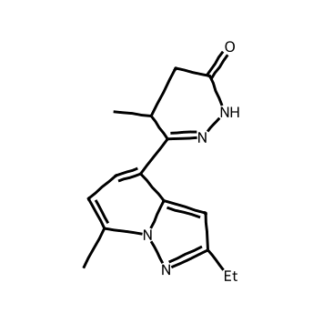 CCc1cc2c(C3=NNC(=O)CC3C)ccc(C)n2n1